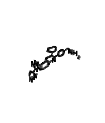 NCc1ccc(-c2nc3ccn4c(-c5ccncn5)nnc4c3cc2-c2ccccc2)cc1